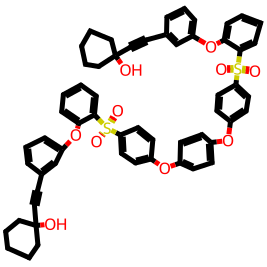 O=S(=O)(c1ccc(Oc2ccc(Oc3ccc(S(=O)(=O)c4ccccc4Oc4cccc(C#CC5(O)CCCCC5)c4)cc3)cc2)cc1)c1ccccc1Oc1cccc(C#CC2(O)CCCCC2)c1